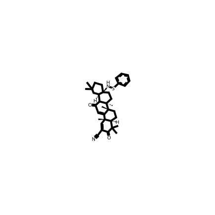 CC1(C)CC[C@]2(NSc3ccccc3)CC[C@]3(C)C(C(=O)C=C4[C@@]5(C)C=C(C#N)C(=O)C(C)(C)[C@@H]5CC[C@]43C)[C@H]2C1